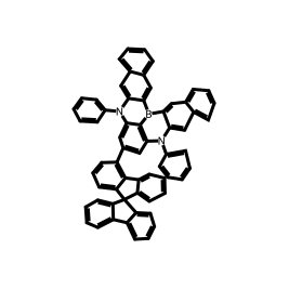 c1ccc(N2c3cc4ccccc4cc3B3c4cc5ccccc5cc4N(c4ccccc4)c4cc(-c5cccc6c5-c5ccccc5C65c6ccccc6-c6ccccc65)cc2c43)cc1